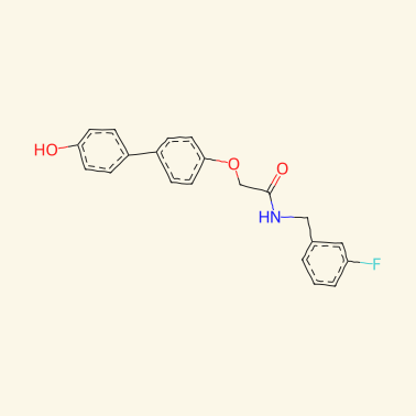 O=C(COc1ccc(-c2ccc(O)cc2)cc1)NCc1cccc(F)c1